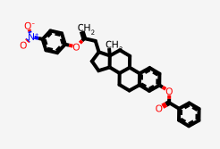 C=C(CC1CCC2C3CCc4cc(OC(=O)c5ccccc5)ccc4C3CCC12C)Oc1ccc([N+](=O)[O-])cc1